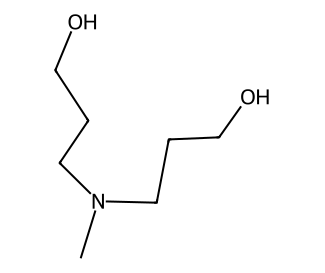 CN(CCCO)CCCO